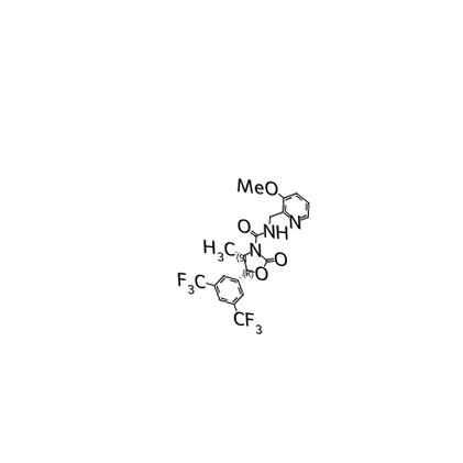 COc1cccnc1CNC(=O)N1C(=O)O[C@H](c2cc(C(F)(F)F)cc(C(F)(F)F)c2)[C@@H]1C